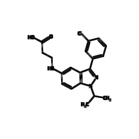 CC(C)n1nc(-c2cccc(Cl)c2)c2cc(NCCC(=O)O)ccc21